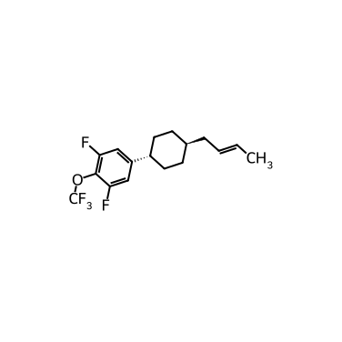 C/C=C/C[C@H]1CC[C@H](c2cc(F)c(OC(F)(F)F)c(F)c2)CC1